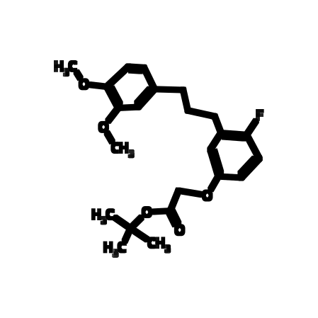 COc1ccc(CCCc2cc(OCC(=O)OC(C)(C)C)ccc2F)cc1OC